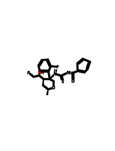 C[C@H]1C[C@@H]([C@@H](O)CF)[C@](NC(=S)NC(=O)c2ccccc2)(c2ccccc2F)CO1